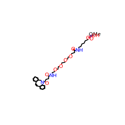 COP(=O)(O)OCCCCCCNC(=O)CCOCCOCCOCCOCCNC(=O)CCC(=O)N1Cc2ccccc2C#Cc2ccccc21